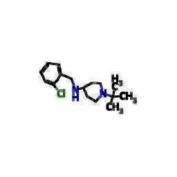 CC(C)(C)N1CCC(NCc2ccccc2Cl)CC1